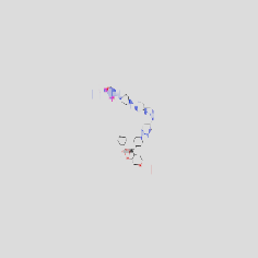 O=C1CCN(c2ccc(N3CCC4(CCN(CC5CCN(c6ccc([C@@H]7c8ccc(O)cc8CO[C@@H]7c7ccccc7)cc6)CC5)C4)CC3)cc2)C(=O)N1